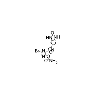 NC(=O)Oc1ncc(Br)nc1-c1cc(-c2ccc3[nH]c(=O)[nH]c3c2)no1